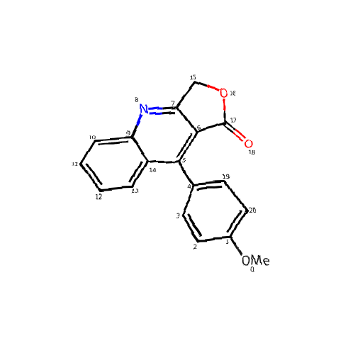 COc1ccc(-c2c3c(nc4ccccc24)COC3=O)cc1